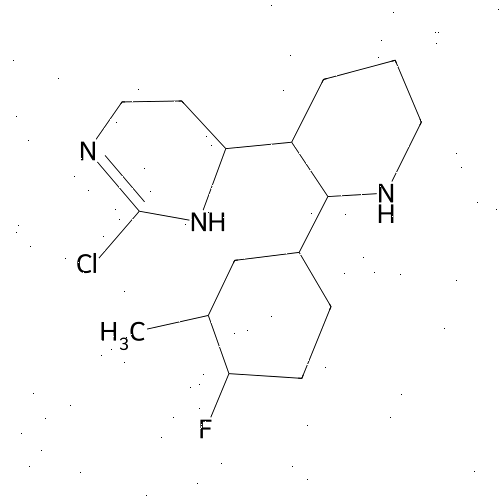 CC1CC(C2NCCCC2C2CCN=C(Cl)N2)CCC1F